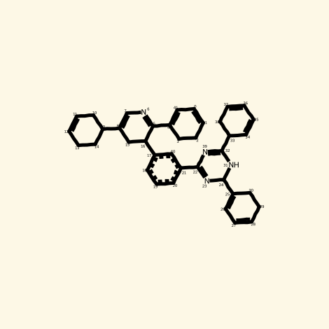 C1=CCCC(C2=NC=C(C3CC=CCC3)CC2c2cccc(C3=NC(C4=CC=CCC4)NC(C4C=CC=CC4)=N3)c2)=C1